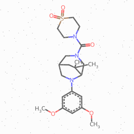 COc1cc(OC)cc(N2CC3CN(C(=O)N4CCS(=O)(=O)CC4)CC2C(C)(C)C3)c1